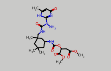 COC(=O)CC(OC(=O)NC1CC(C)(C)CC(C)(CNC(=O)N(N)c2nc(=O)cc(C)[nH]2)C1)C(=O)OC